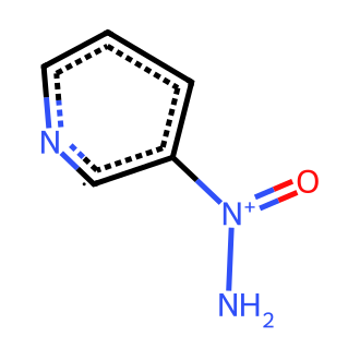 N[N+](=O)c1[c]nccc1